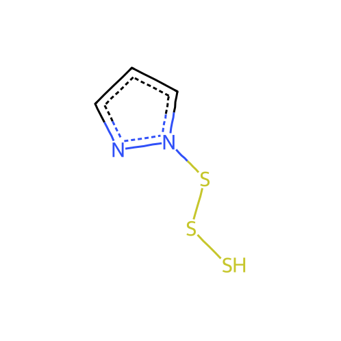 SSSn1cccn1